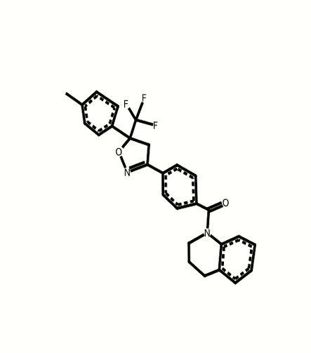 Cc1ccc(C2(C(F)(F)F)CC(c3ccc(C(=O)N4CCCc5ccccc54)cc3)=NO2)cc1